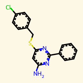 Nc1cc(SCc2ccc(Cl)cc2)nc(-c2ccccc2)n1